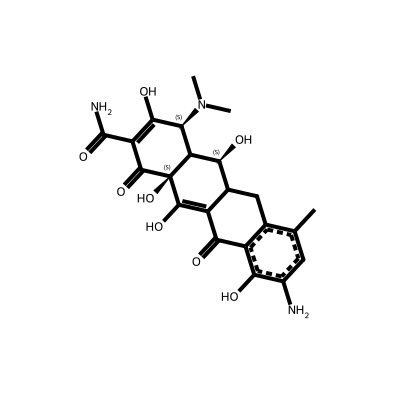 Cc1cc(N)c(O)c2c1CC1C(=C(O)[C@]3(O)C(=O)C(C(N)=O)=C(O)[C@@H](N(C)C)C3[C@H]1O)C2=O